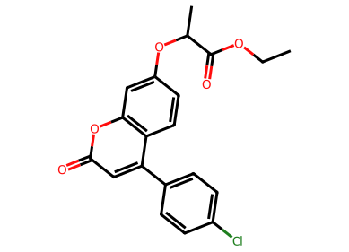 CCOC(=O)C(C)Oc1ccc2c(-c3ccc(Cl)cc3)cc(=O)oc2c1